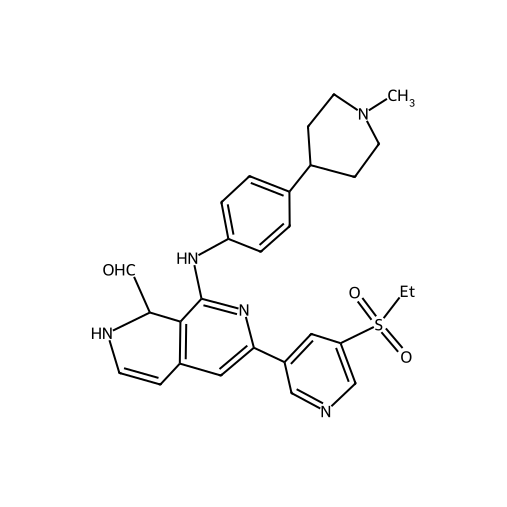 CCS(=O)(=O)c1cncc(-c2cc3c(c(Nc4ccc(C5CCN(C)CC5)cc4)n2)C(C=O)NC=C3)c1